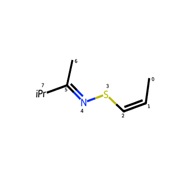 C/C=C\S/N=C(\C)C(C)C